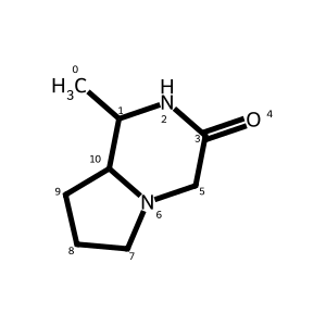 CC1NC(=O)CN2CCCC12